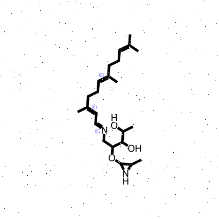 CC(C)=CCC/C(C)=C/CC/C(C)=C/C=N/CC(OC1NC1C)C(O)C(C)O